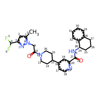 Cc1cc(C(F)F)nn1CC(=O)N1CCC(c2ccnc(C(=O)N[C@@H]3CCCc4ccccc43)c2)CC1